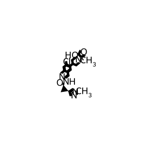 Cn1cc([C@@H]2C[C@H]2C(=O)Nc2cc3cc(C4CCN([C@@]5(C)COC[C@H]5O)CC4)c(Cl)cc3cn2)cn1